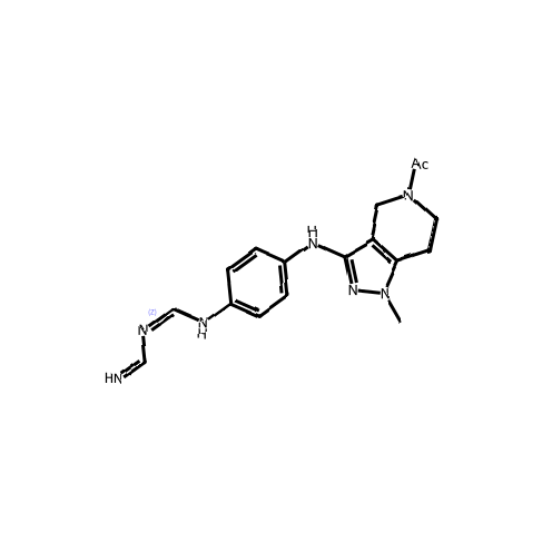 CC(=O)N1CCc2c(c(Nc3ccc(N/C=N\C=N)cc3)nn2C)C1